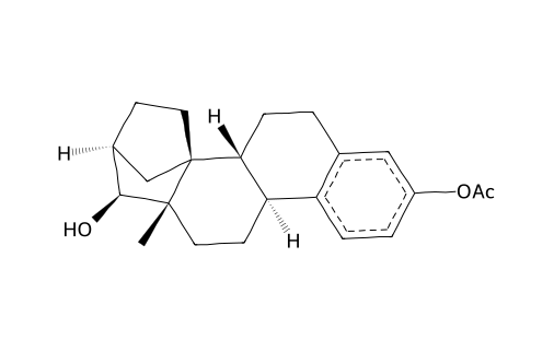 CC(=O)Oc1ccc2c(c1)CC[C@@H]1[C@@H]2CC[C@]2(C)[C@@H](O)[C@H]3CC[C@@]12C3